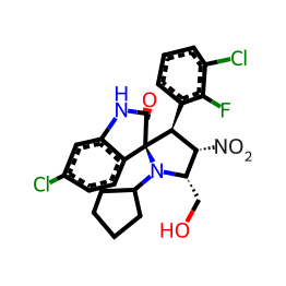 O=C1Nc2cc(Cl)ccc2[C@@]12[C@@H](c1cccc(Cl)c1F)[C@H]([N+](=O)[O-])[C@H](CO)N2C1CCCC1